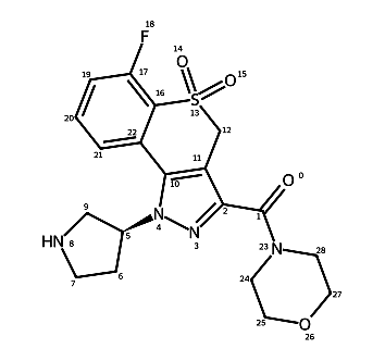 O=C(c1nn([C@H]2CCNC2)c2c1CS(=O)(=O)c1c(F)cccc1-2)N1CCOCC1